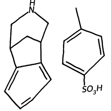 Cc1ccc(S(=O)(=O)O)cc1.c1ccc2c(c1)C1CNCC2C1